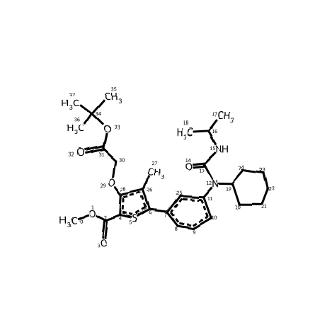 COC(=O)c1sc(-c2cccc(N(C(=O)NC(C)C)C3CCCCC3)c2)c(C)c1OCC(=O)OC(C)(C)C